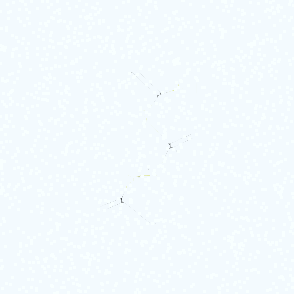 C=C(C)SSC(=C)SC(=C)S